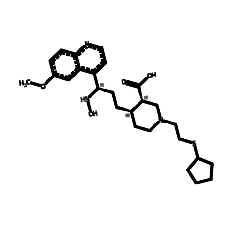 COc1ccc2nccc([C@@H](CC[C@@H]3CCN(CCSC4CCCC4)C[C@@H]3C(=O)O)NO)c2c1